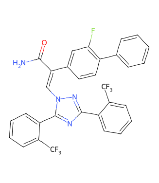 NC(=O)/C(=C/n1nc(-c2ccccc2C(F)(F)F)nc1-c1ccccc1C(F)(F)F)c1ccc(-c2ccccc2)c(F)c1